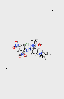 CCN(C)c1ccc(N=Nc2c(Cl)cc([N+](=O)[O-])cc2[N+](=O)[O-])c(NC(C)=O)c1